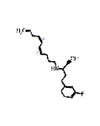 C#CC(CCC1=CC(F)=CCC1)NCCC/C=C\C=C/CC=C